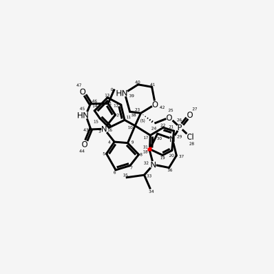 Cc1cn(-c2ccccc2C(c2ccccc2)(c2ccccc2)[C@@]2(COP(=O)(Cl)N3CCN(C(C)C)CC3)CNCCO2)c(=O)[nH]c1=O